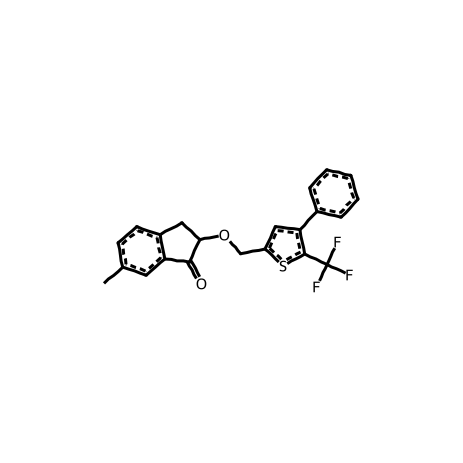 Cc1ccc2c(c1)C(=O)C(OCc1cc(-c3ccccc3)c(C(F)(F)F)s1)C2